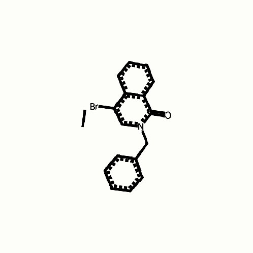 CC.O=c1c2ccccc2c(Br)cn1Cc1ccccc1